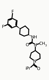 CC(C)C(=O)N1CCC(N(C)C(=O)N[C@H]2CC[C@H](c3cc(F)cc(F)c3)CC2)CC1